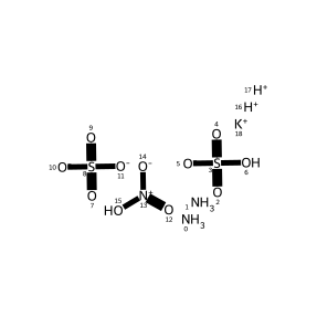 N.N.O=S(=O)([O-])O.O=S(=O)([O-])[O-].O=[N+]([O-])O.[H+].[H+].[K+]